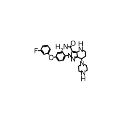 NC(=O)c1c2c(nn1-c1ccc(Oc3cccc(F)c3)cc1)C(N1CCNCC1)CCN2